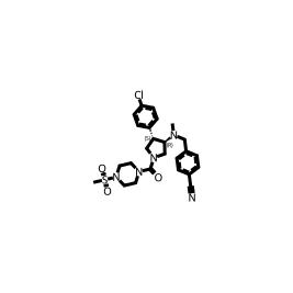 CN(Cc1ccc(C#N)cc1)[C@H]1CN(C(=O)N2CCN(S(C)(=O)=O)CC2)C[C@@H]1c1ccc(Cl)cc1